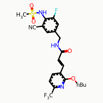 CCCCOc1nc(C(F)(F)F)ccc1C=CC(=O)NCc1cc(F)c(NS(C)(=O)=O)c(C#N)c1